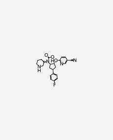 N#Cc1ccc(OC2CC(c3ccc(F)cc3)CC2N(C(=O)O)[C@@H]2CCCNC2)nc1